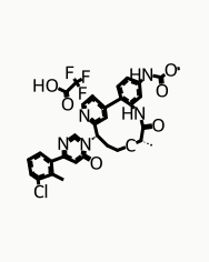 COC(=O)Nc1ccc2c(c1)NC(=O)[C@H](C)CCC[C@H](n1cnc(-c3cccc(Cl)c3C)cc1=O)c1cc-2ccn1.O=C(O)C(F)(F)F